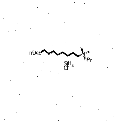 CCCCCCCCCCCCCCCCCC[N+](C)(C)CCC.[Cl-].[SiH4]